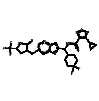 O=C(N[C@H](c1cn2ncc(CC3C[C@@H](C(F)(F)F)NC3=O)cc2n1)C1CCC(F)(F)CC1)c1nonc1C1CC1